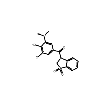 C[S+]([O-])c1cc(C(=O)N2CS(=O)(=O)c3ccccc32)cc(Cl)c1O